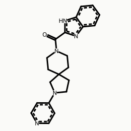 O=C(c1nc2ccccc2[nH]1)N1CCC2(CC1)CCN(c1ccncc1)C2